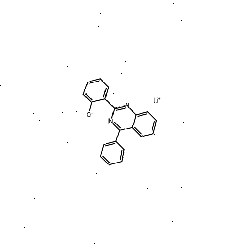 [Li+].[O-]c1ccccc1-c1nc(-c2ccccc2)c2ccccc2n1